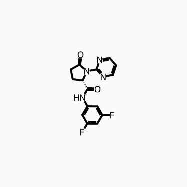 O=C(Nc1cc(F)cc(F)c1)[C@@H]1CCC(=O)N1c1ncccn1